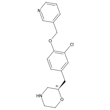 Clc1cc(C[C@@H]2CNCCO2)ccc1OCc1cccnc1